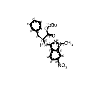 Cn1nc(N[C@@H](Cc2ccccc2)C(=O)OC(C)(C)C)c2ccc([N+](=O)[O-])cc21